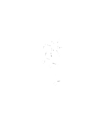 CCOC(=O)[C@H]1C[C@@H](OC(=O)c2cc(-n3c(=O)n(C)c(=S)n(C)c3=O)c(F)cc2Cl)C1